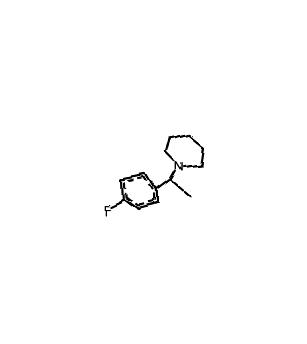 CC(c1ccc(F)cc1)N1CC[CH]CC1